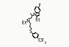 CCc1cc2cc(F)ccc2n1C(C)CCN(CC)CCCSc1ccc(C(F)(F)F)cc1